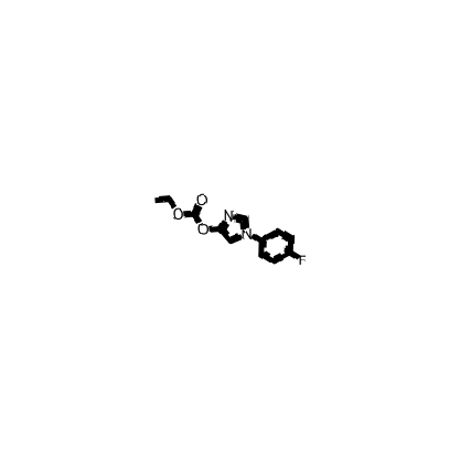 CCOC(=O)Oc1cn(-c2ccc(F)cc2)cn1